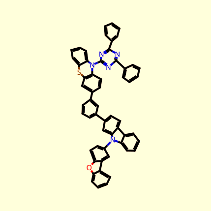 c1ccc(-c2nc(-c3ccccc3)nc(N3c4ccccc4Sc4cc(-c5cccc(-c6ccc7c8ccccc8n(-c8ccc9oc%10ccccc%10c9c8)c7c6)c5)ccc43)n2)cc1